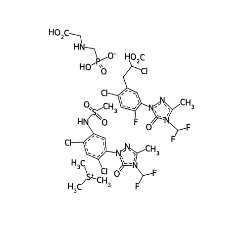 C[S+](C)C.Cc1nn(-c2cc(CC(Cl)C(=O)O)c(Cl)cc2F)c(=O)n1C(F)F.Cc1nn(-c2cc(NS(C)(=O)=O)c(Cl)cc2Cl)c(=O)n1C(F)F.O=C(O)CNCP(=O)([O-])O